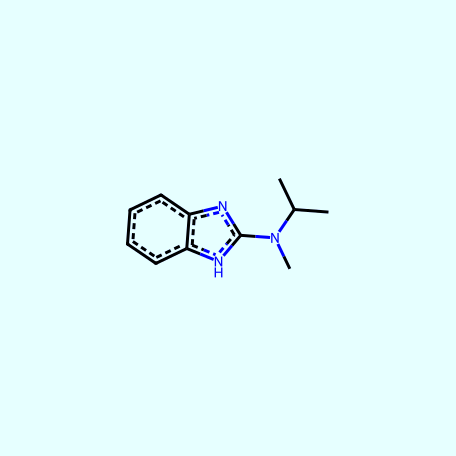 CC(C)N(C)c1nc2ccccc2[nH]1